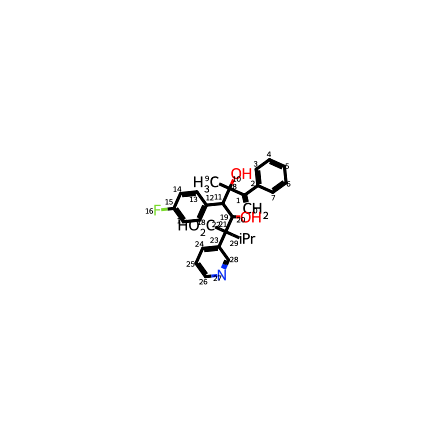 C=C(c1ccccc1)C(C)(O)C(c1ccc(F)cc1)C(O)C(C(=O)O)(c1cccnc1)C(C)C